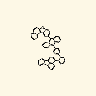 c1ccc(-c2ccc3c4c(cccc24)-c2ccccc2-3)c(-c2ccc(-c3c4ccccc4c(-c4ccc5oc6ccc7ccccc7c6c5c4)c4ccccc34)cc2)c1